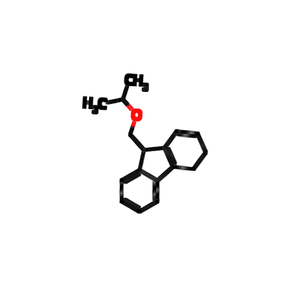 CC(C)OCC1C2=C(CCC=C2)c2ccccc21